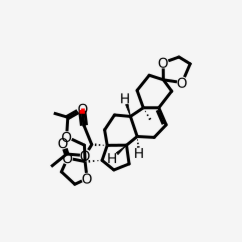 C#CC(OC(C)=O)[C@]12CC[C@H]3[C@@H](CC=C4CC5(CC[C@@]43C)OCCO5)[C@@H]1CC[C@@H]2C1(COC(C)=O)OCCO1